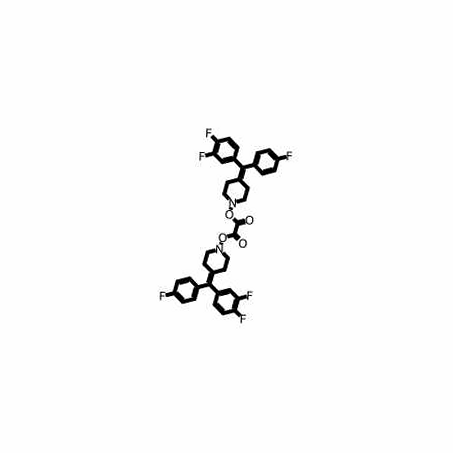 O=C(ON1CCC(=C(c2ccc(F)cc2)c2ccc(F)c(F)c2)CC1)C(=O)ON1CCC(=C(c2ccc(F)cc2)c2ccc(F)c(F)c2)CC1